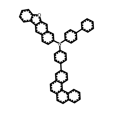 c1ccc(-c2ccc(N(c3ccc(-c4ccc5c(ccc6ccc7ccccc7c65)c4)cc3)c3ccc4cc5c(cc4c3)oc3ccccc35)cc2)cc1